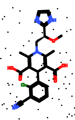 CO[C@H](CN1C(C)=C(C(=O)O)C(c2cccc(C#N)c2Cl)C(C(=O)O)=C1C)c1ncc[nH]1